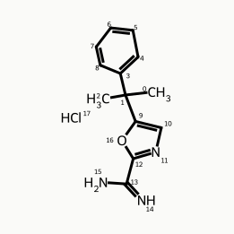 CC(C)(c1ccccc1)c1cnc(C(=N)N)o1.Cl